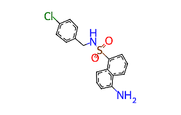 Nc1cccc2c(S(=O)(=O)NCc3ccc(Cl)cc3)cccc12